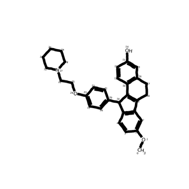 COc1ccc2c(c1)C1=C(c3ccc(O)cc3CC1)C2c1ccc(OCCN2CCCCC2)cc1